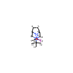 CC(I)N1C2CCC1CN(C(C)(C)C)C2